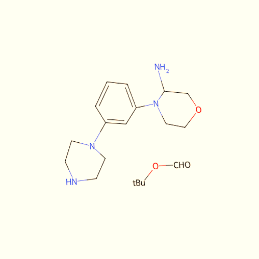 CC(C)(C)OC=O.NC1COCCN1c1cccc(N2CCNCC2)c1